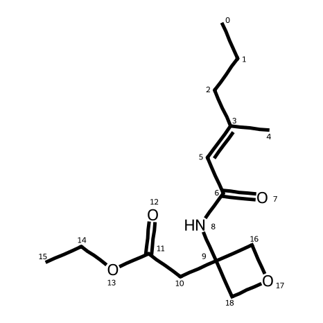 CCC/C(C)=C/C(=O)NC1(CC(=O)OCC)COC1